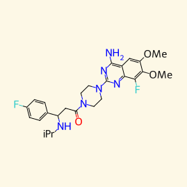 COc1cc2c(N)nc(N3CCN(C(=O)CC(NC(C)C)c4ccc(F)cc4)CC3)nc2c(F)c1OC